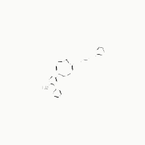 Bc1ccc(C2=C/C=C\C=C(CCCCCCc3ccccc3)/C=C/C=C/C=C\2)cc1-c1ccccc1